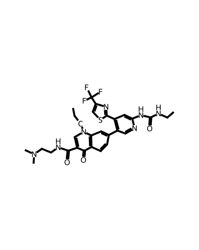 CCCn1cc(C(=O)NCCN(C)C)c(=O)c2ccc(-c3cnc(NC(=O)NCC)cc3-c3nc(C(F)(F)F)cs3)cc21